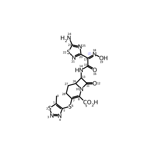 Cc1snnc1SC1=C(C(=O)O)N2C(=O)C(NC(=O)/C(=N\O)c3nsc(N)n3)C2CC1